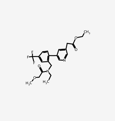 CCOC(=O)Cc1cncc(-c2ccc(C(F)(F)F)cc2CN(CC)C(=O)COC)c1